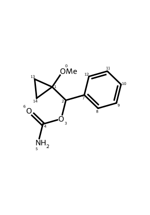 COC1(C(OC(N)=O)c2ccccc2)CC1